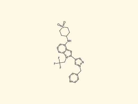 O=S1(=O)CCC(Nc2cccc3c2cc(-c2cnn(Cc4ccncc4)c2)n3CC(F)(F)F)CC1